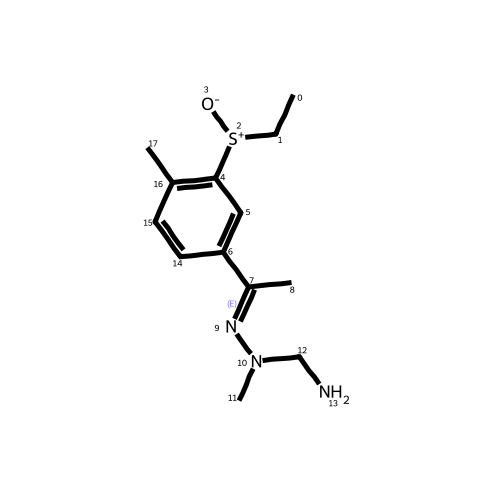 CC[S+]([O-])c1cc(/C(C)=N/N(C)CN)ccc1C